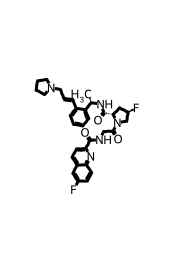 C[C@H](NC(=O)[C@@H]1C[C@@H](F)CN1C(=O)CNC(=O)c1ccc2cc(F)ccc2n1)c1ccccc1/C=C/CN1CCCC1